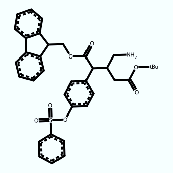 CC(C)(C)OC(=O)CC(CN)C(C(=O)OCC1c2ccccc2-c2ccccc21)c1ccc(OS(=O)(=O)c2ccccc2)cc1